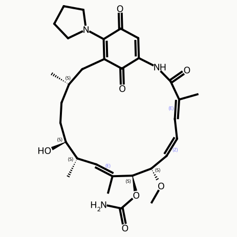 CO[C@H]1/C=C\C=C(/C)C(=O)NC2=CC(=O)C(N3CCCC3)=C(C[C@@H](C)CC[C@H](O)[C@@H](C)/C=C(\C)[C@@H]1OC(N)=O)C2=O